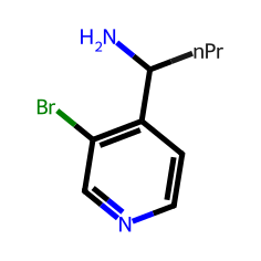 CCCC(N)c1ccncc1Br